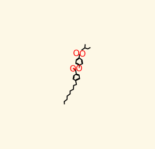 CCCCCCCCCc1ccc(C(=O)Oc2ccc(C(=O)OCC(C)CC)cc2)cc1